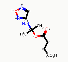 CC(C)(N)OC(=O)CCC(=O)O.c1cnon1